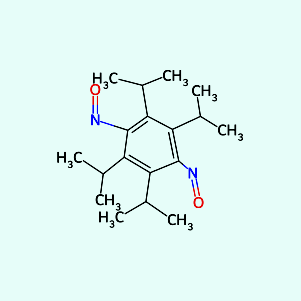 CC(C)c1c(N=O)c(C(C)C)c(C(C)C)c(N=O)c1C(C)C